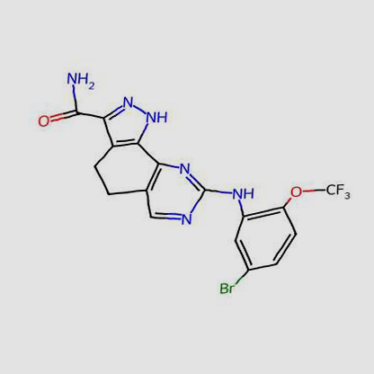 NC(=O)c1n[nH]c2c1CCc1cnc(Nc3cc(Br)ccc3OC(F)(F)F)nc1-2